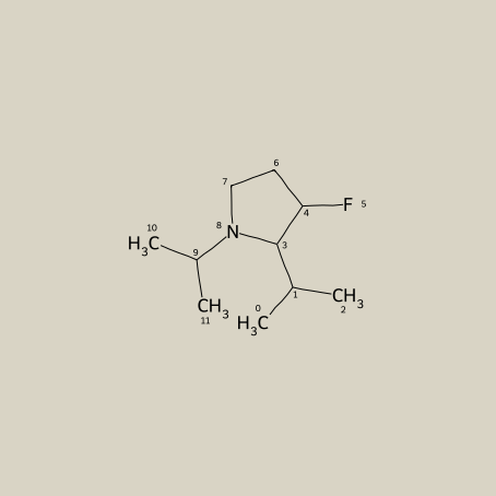 CC(C)C1C(F)CCN1C(C)C